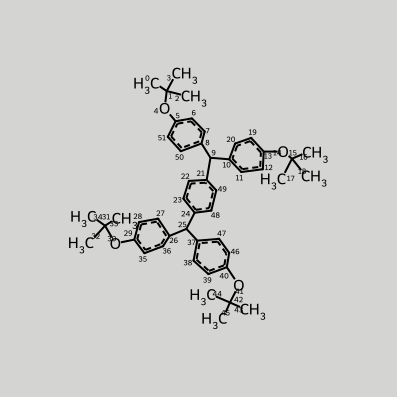 CC(C)(C)Oc1ccc(C(c2ccc(OC(C)(C)C)cc2)c2ccc(C(c3ccc(OC(C)(C)C)cc3)c3ccc(OC(C)(C)C)cc3)cc2)cc1